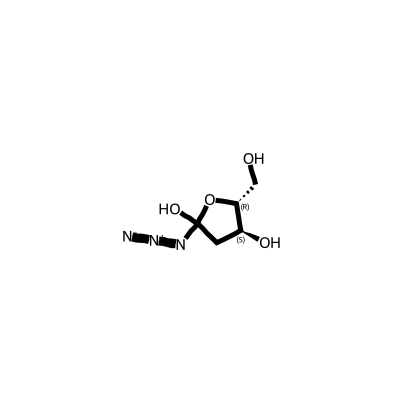 [N-]=[N+]=NC1(O)C[C@H](O)[C@@H](CO)O1